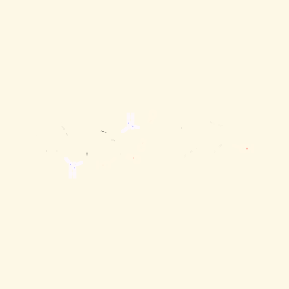 O=C(O)[C@@H](Cc1c[nH]c2ccccc12)NS(=O)(=O)c1ccc2cc(O)ccc2c1